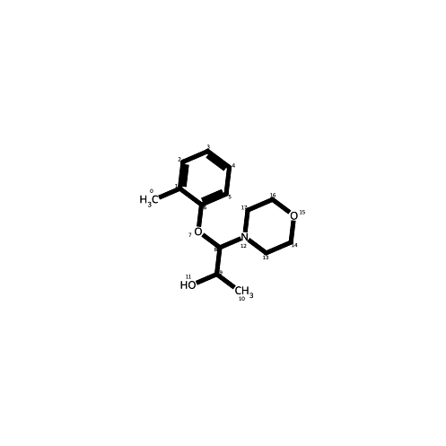 Cc1ccccc1OC(C(C)O)N1CCOCC1